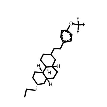 CCC[C@@H]1CC[C@H]2[C@H](CC[C@H]3CC(CCc4ccc(OC(F)(F)F)cc4)CC[C@@H]32)C1